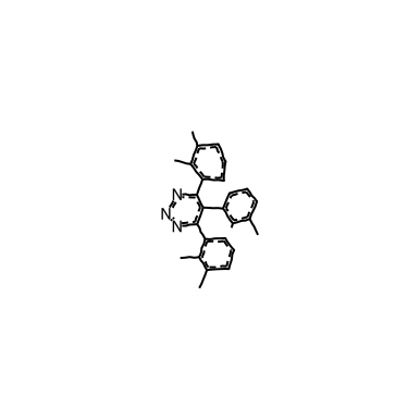 Cc1cccc(-c2nnnc(-c3cccc(C)c3C)c2-c2cccc(C)c2C)c1C